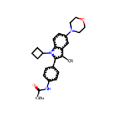 CC(C)COC(=O)Nc1ccc(-c2c(C#N)c3cc(N4CCOCC4)ccc3n2C2CCC2)cc1